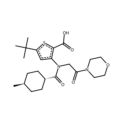 CC(C)(C)c1cc(N(CC(=O)N2CCOCC2)C(=O)[C@H]2CC[C@H](C)CC2)c(C(=O)O)s1